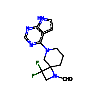 O=CN1CC(F)(F)C12CCCN(c1ncnc3[nH]ccc13)C2